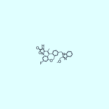 COCc1nc2ccccc2n1Cc1ccc2c(c1)COc1cc(F)ccc1C2=C(C)c1noc(=O)[nH]1